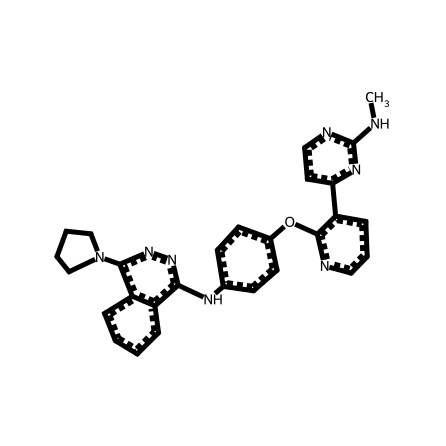 CNc1nccc(-c2cccnc2Oc2ccc(Nc3nnc(N4CCCC4)c4ccccc34)cc2)n1